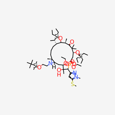 CCOP(=O)(OCC)C(c1cc(SC)n(C)n1)C(C)(O)C1C[C@@H]2N(CCO[Si](C)(C)C(C)(C)C)[C@]2(C)CCC[C@H](C)C(O[Si](CC)(CC)CC)[C@@H](C)C(=O)C(C)(C)[C@@H](O[Si](CC)(CC)CC)CC(=O)O1